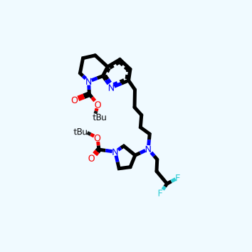 CC(C)(C)OC(=O)N1CCC(N(CCCCCc2ccc3c(n2)N(C(=O)OC(C)(C)C)CCC3)CCC(F)F)C1